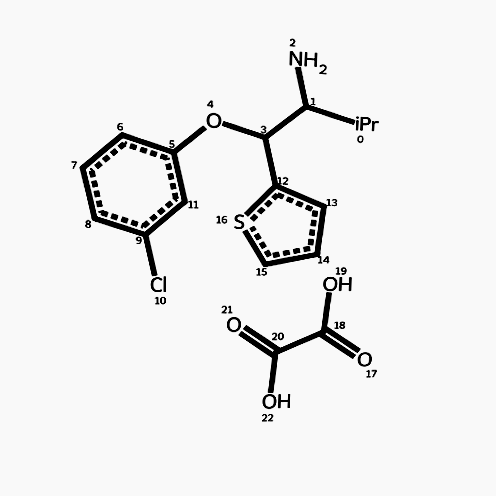 CC(C)C(N)C(Oc1cccc(Cl)c1)c1cccs1.O=C(O)C(=O)O